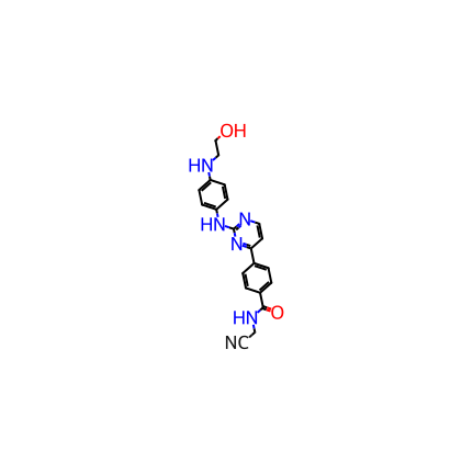 N#CCNC(=O)c1ccc(-c2ccnc(Nc3ccc(NCCO)cc3)n2)cc1